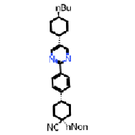 CCCCCCCCC[C@]1(C#N)CC[C@H](c2ccc(-c3ncc([C@H]4CC[C@H](CCCC)CC4)cn3)cc2)CC1